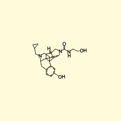 O=C(NCCO)N1C[C@H]2CC34CCC1C2C31CCN(CC2CC2)C4Cc2ccc(O)cc21